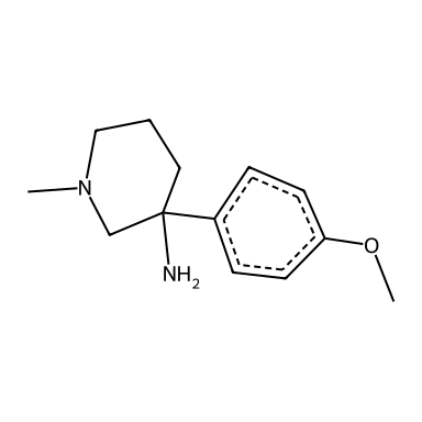 COc1ccc(C2(N)CCCN(C)C2)cc1